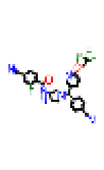 N#Cc1ccc([C@H](c2ccc(OCC(F)(F)F)nc2)N2CCC(NC(=O)c3ccc(C#N)cc3F)C2)cc1